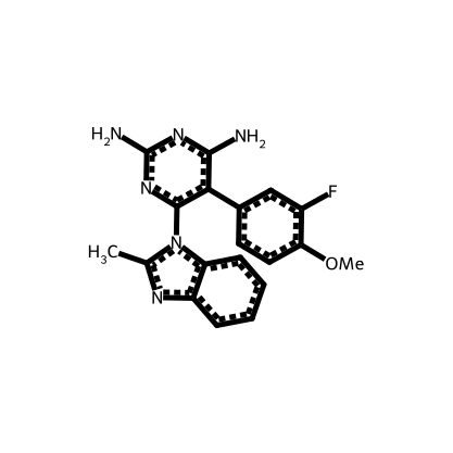 COc1ccc(-c2c(N)nc(N)nc2-n2c(C)nc3ccccc32)cc1F